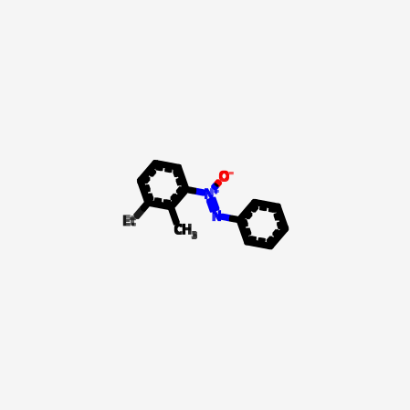 CCc1cccc([N+]([O-])=Nc2ccccc2)c1C